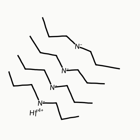 CCC[N-]CCC.CCC[N-]CCC.CCC[N-]CCC.CCC[N-]CCC.[Hf+4]